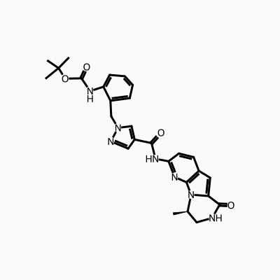 C[C@@H]1CNC(=O)c2cc3ccc(NC(=O)c4cnn(Cc5ccccc5NC(=O)OC(C)(C)C)c4)nc3n21